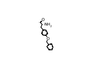 N[C@@H]([C]=O)Cc1ccc(OCc2ccccc2)cc1